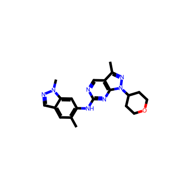 Cc1cc2cnn(C)c2cc1Nc1ncc2c(C)nn(C3CCOCC3)c2n1